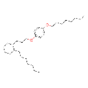 CCCCCCCCOc1ccc(OCCCC2CCCCC2CCCCCCC)cc1